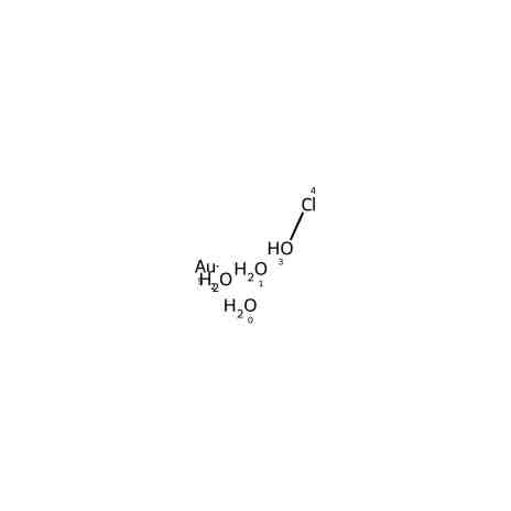 O.O.O.OCl.[Au]